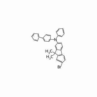 CC1(C)c2cc(Br)ccc2-c2ccc(N(c3ccccc3)c3ccc(-c4ccccc4)cc3)cc21